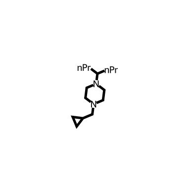 CCCC(CCC)N1CCN(CC2CC2)CC1